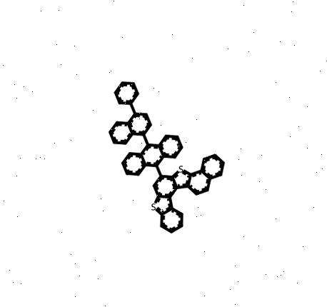 c1ccc(-c2ccc(-c3c4ccccc4c(-c4cc5sc6ccccc6c5c5c4sc4c6ccccc6ccc45)c4ccccc34)c3ccccc23)cc1